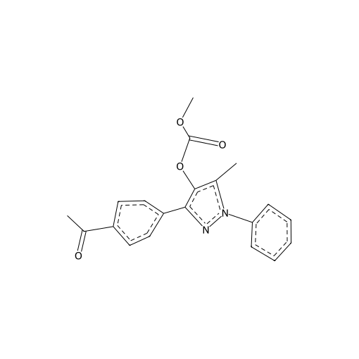 COC(=O)Oc1c(-c2ccc(C(C)=O)cc2)nn(-c2ccccc2)c1C